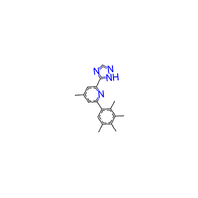 Cc1cc(-c2ncn[nH]2)nc(-c2cc(C)c(C)c(C)c2C)c1